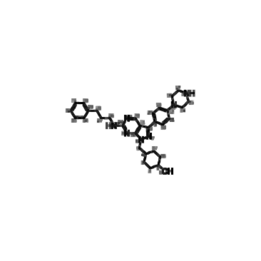 OC1CCC(Cn2nc(-c3ccc(N4CCNCC4)cc3)c3cnc(NCCCc4ccccc4)nc32)CC1